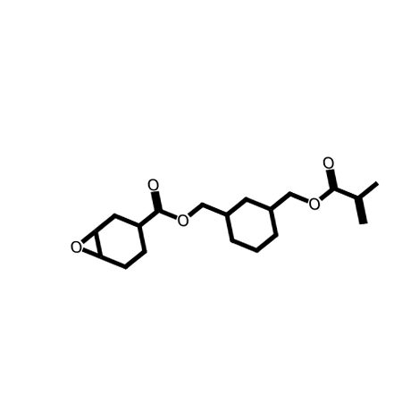 C=C(C)C(=O)OCC1CCCC(COC(=O)C2CCC3OC3C2)C1